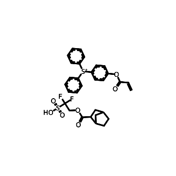 C=CC(=O)Oc1ccc([S+](c2ccccc2)c2ccccc2)cc1.O=C(OCC(F)(F)S(=O)(=O)O)C1CC2CCC1C2